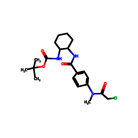 CN(C(=O)CCl)c1ccc(C(=O)NC2CCCCC2NC(=O)OC(C)(C)C)cc1